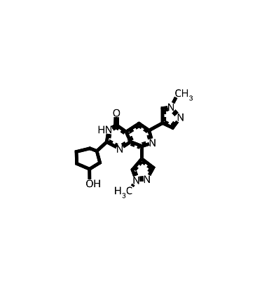 Cn1cc(-c2cc3c(=O)[nH]c(C4CCCC(O)C4)nc3c(-c3cnn(C)c3)n2)cn1